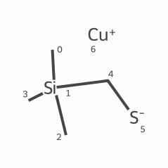 C[Si](C)(C)C[S-].[Cu+]